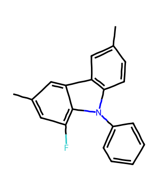 Cc1ccc2c(c1)c1cc(C)cc(F)c1n2-c1ccccc1